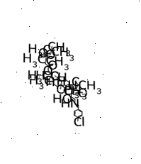 CC(C)C1=C2[C@H]3CC[C@@H]4[C@@]5(C)CC[C@H](OC(=O)CC(C)(C)C(=O)OC(C)(C)C)C(C)(C)[C@@H]5CC[C@@]4(C)[C@]3(C)CC[C@@]2([C@@H](O)CNCc2ccc(Cl)cc2)CC1=O